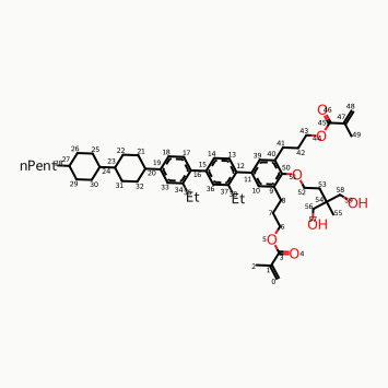 C=C(C)C(=O)OCCCc1cc(-c2ccc(-c3ccc(C4CCC(C5CCC(CCCCC)CC5)CC4)cc3CC)cc2CC)cc(CCCOC(=O)C(=C)C)c1OCCC(C)(CO)CO